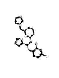 Clc1ccc(CC(OC2CCCC(Cn3ccnc3)O2)c2ccco2)c(Cl)c1